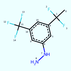 CC(F)(F)c1cc(NN)cc(C(F)(F)F)c1